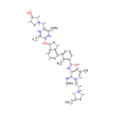 CO/N=c1/c2nc(-c3cccc(-c4cccc5c4CC[C@@H]5Oc4nc(OC)c(CN5CC[C@@H](O)C5)nc4C(F)(F)F)c3C)oc2c(C#N)cn1CCN1CC[C@@H](C(=O)O)C1